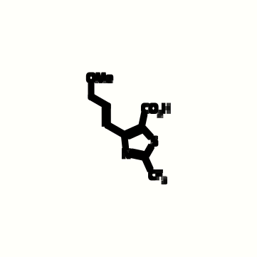 COC/C=C/c1nc(C(F)(F)F)sc1C(=O)O